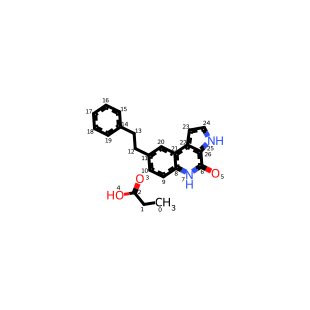 CCC(=O)O.O=c1[nH]c2ccc(CCc3ccccc3)cc2c2cc[nH]c12